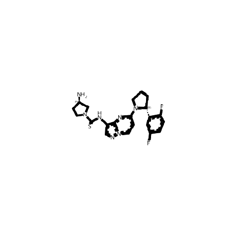 N[C@@H]1CCN(C(=S)Nc2cnn3ccc(N4CCC[C@@H]4c4cc(F)ccc4F)nc23)C1